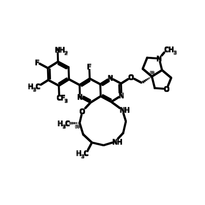 Cc1c(F)c(N)cc(-c2nc3c4c(nc(OC[C@]56CCN(C)C5COC6)nc4c2F)NCCNCC(C)C[C@H](C)O3)c1C(F)(F)F